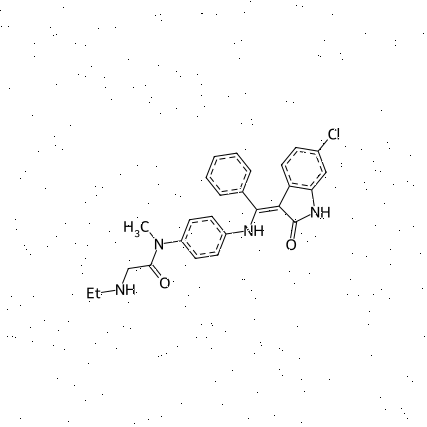 CCNCC(=O)N(C)c1ccc(N/C(=C2\C(=O)Nc3cc(Cl)ccc32)c2ccccc2)cc1